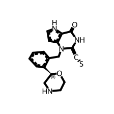 O=C1NC(=C=S)N(Cc2ccccc2[C@@H]2CNCCO2)c2cc[nH]c21